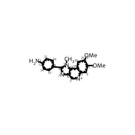 COc1cc2ncc3nc(-c4ccc(N)cc4)n(C)c3c2cc1OC